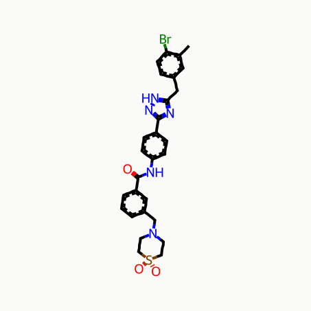 Cc1cc(Cc2nc(-c3ccc(NC(=O)c4cccc(CN5CCS(=O)(=O)CC5)c4)cc3)n[nH]2)ccc1Br